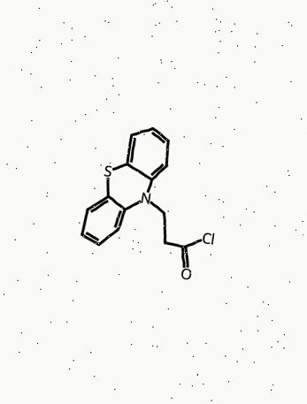 O=C(Cl)CCN1c2ccccc2Sc2ccccc21